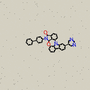 O=C1c2cccc(-n3c4ccccc4c4ccc(-c5cncnc5)cc43)c2C(=O)N1c1ccc(-c2ccccc2)cc1